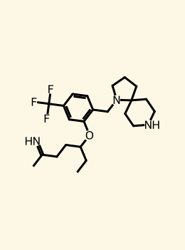 CCC(CCC(C)=N)Oc1cc(C(F)(F)F)ccc1CN1CCCC12CCNCC2